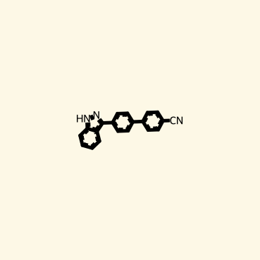 N#Cc1ccc(-c2ccc(-c3n[nH]c4ccccc34)cc2)cc1